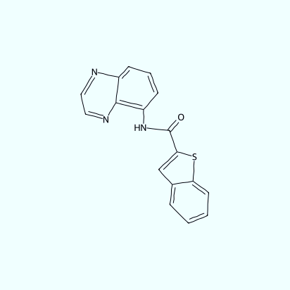 O=C(Nc1cccc2nccnc12)c1cc2ccccc2s1